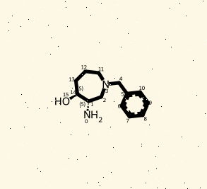 N[C@H]1CN(Cc2ccccc2)CCC[C@@H]1O